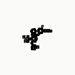 COc1cc(CNC(=O)[C@@H](CC2CCCCC2)N(C(=N)N)C(=O)CC2C[C@@H]3CCC2C3)ccc1F